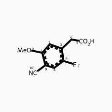 COc1cc(CC(=O)O)c(F)cc1C#N